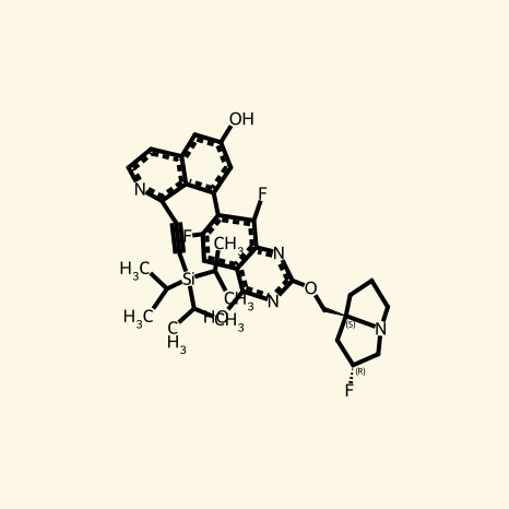 CC(C)[Si](C#Cc1nccc2cc(O)cc(-c3c(F)cc4c(O)nc(OC[C@@]56CCCN5C[C@H](F)C6)nc4c3F)c12)(C(C)C)C(C)C